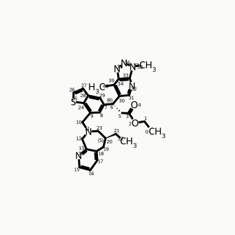 CCOC(=O)C[C@H](c1cc(CN2Cc3ncccc3C[C@H](CC)C2)c2sccc2c1)c1cnc2c(nnn2C)c1C